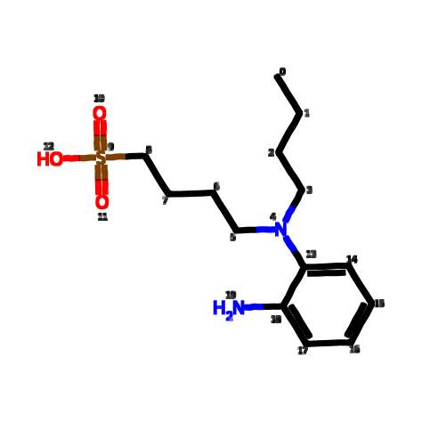 CCCCN(CCCCS(=O)(=O)O)c1ccccc1N